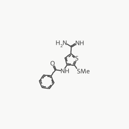 CSc1sc(C(=N)N)cc1NC(=O)c1ccccc1